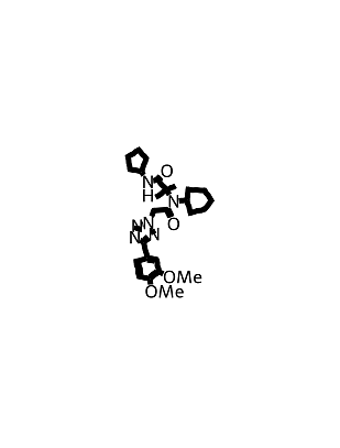 COc1ccc(-c2nnn(CC(=O)N(C3CCCCC3)C(C)(C)C(=O)NC3CCCC3)n2)cc1OC